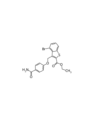 CCOC(=O)c1sc2cccc(Br)c2c1COc1ccc(C(N)=O)cc1